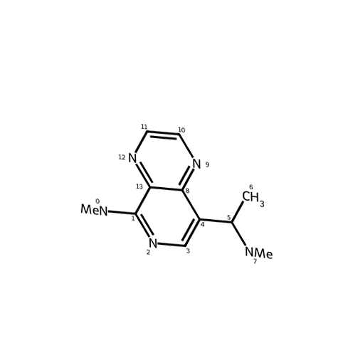 CNc1ncc(C(C)NC)c2nccnc12